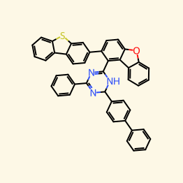 c1ccc(C2=NC(c3ccc(-c4ccccc4)cc3)NC(c3c(-c4ccc5c(c4)sc4ccccc45)ccc4oc5ccccc5c34)=N2)cc1